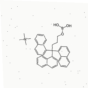 C[N+](C)(C)C.OB(O)OCCCC(c1cccc2ccccc12)(c1cccc2ccccc12)c1cccc2ccccc12